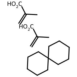 C1CCC2(CC1)CCCCC2.C=C(C)C(=O)O.C=C(C)C(=O)O